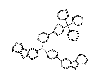 c1ccc(C(c2ccccc2)(c2ccccc2)c2ccc(-c3cccc(N(c4ccc(-c5ccc6oc7ccccc7c6c5)cc4)c4ccc5sc6ccccc6c5c4)c3)cc2)cc1